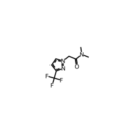 CN(C)C(=O)Cn1c[c]c(C(F)(F)F)n1